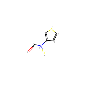 O=CN(S)c1ccsc1